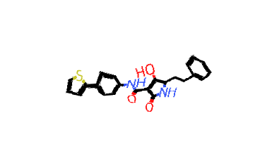 O=C(Nc1ccc(-c2cccs2)cc1)C1=C(O)C(CCc2ccccc2)NC1=O